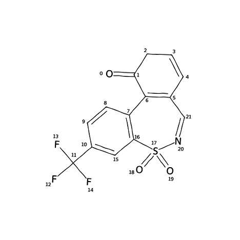 O=C1CC=CC2=C1c1ccc(C(F)(F)F)cc1S(=O)(=O)N=C2